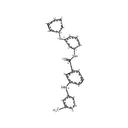 Cc1cc(Nc2cccc(C(=O)Nc3cccc(Oc4ccccc4)c3)c2)ccn1